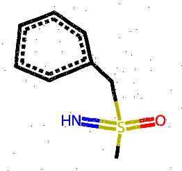 CS(=N)(=O)Cc1ccccc1